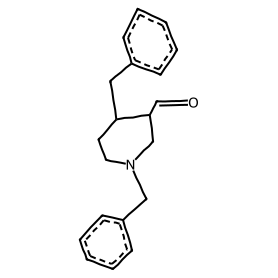 O=CC1CN(Cc2ccccc2)CCC1Cc1ccccc1